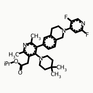 Cc1nc(C)c(-c2ccc3c(c2)CCN(c2cc(F)ncc2F)C3)c(N2CCC(C)(C)CC2)c1CC(=O)OC(C)C